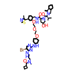 C=C1c2ccccc2CN1[C@H](C(=O)N1C[C@H](O)C[C@H]1C(=O)NCc1ccc(-c2scnc2C)cc1OCCOCCOc1ccc(Nc2ncc(Br)c(NCCCN(C)C(=O)C3CCC3)n2)cc1)C(C)C